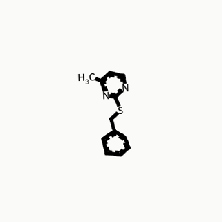 Cc1ccnc(SCc2ccccc2)n1